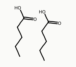 CCCCC(=O)O.CCCCC(=O)O